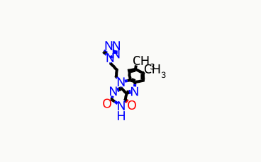 Cc1cc2nc3c(=O)[nH]c(=O)nc-3n(CCCn3cnnn3)c2cc1C